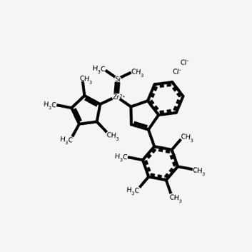 CC1=C(C)C(C)[C]([Zr+2]([CH]2C=C(c3c(C)c(C)c(C)c(C)c3C)c3ccccc32)=[Si](C)C)=C1C.[Cl-].[Cl-]